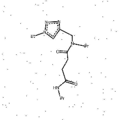 CCn1cc(CN(C(=O)CCC(=O)NC(C)C)C(C)C)nn1